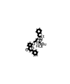 CCC(Cc1ccccc1)NCC(COc1cccc2c(=O)cc(-c3ccccc3)oc12)OC(=O)C(C)(C)C.Cl